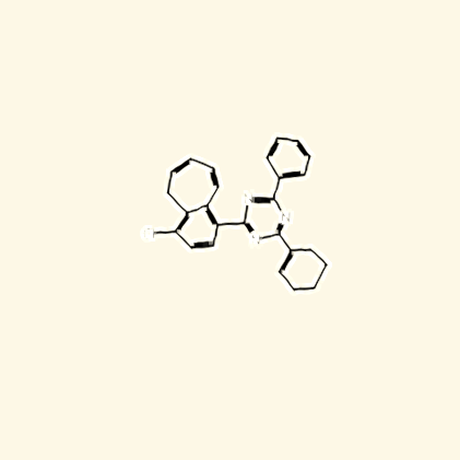 Clc1ccc(-c2nc(C3=CCCCC3)nc(-c3ccccc3)n2)c2c1CC=CC=C2